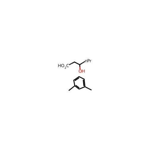 CCCC(O)CC(=O)O.Cc1cccc(C)c1